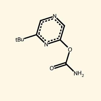 CC(C)(C)c1cncc(OC(N)=O)n1